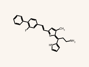 CC1=CC(/C=C/c2ccc(-c3ccccc3)c(F)c2)=NC/1=C(/CCN)c1ccc[nH]1